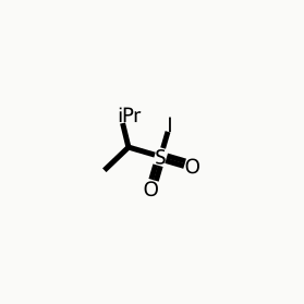 CC(C)C(C)S(=O)(=O)I